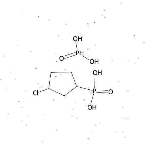 O=P(O)(O)C1CCC(Cl)C1.O=[PH](O)O